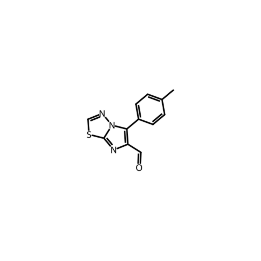 Cc1ccc(-c2c(C=O)nc3scnn23)cc1